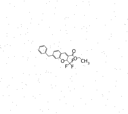 CCOC(=O)C1=Cc2ccc(Cc3ccccc3)cc2OC1C(F)(F)F